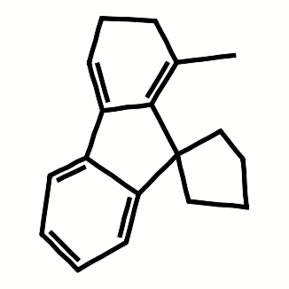 CC1=C2C(=CCC1)c1ccccc1C21CCCC1